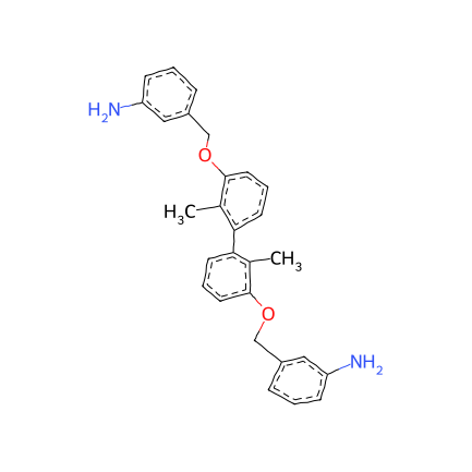 Cc1c(OCc2cccc(N)c2)cccc1-c1cccc(OCc2cccc(N)c2)c1C